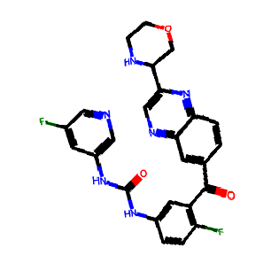 O=C(Nc1cncc(F)c1)Nc1ccc(F)c(C(=O)c2ccc3nc(C4COCCN4)cnc3c2)c1